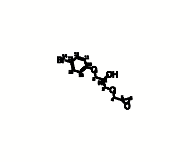 O[C@@H](COCC1CO1)COc1ccc(Br)cc1